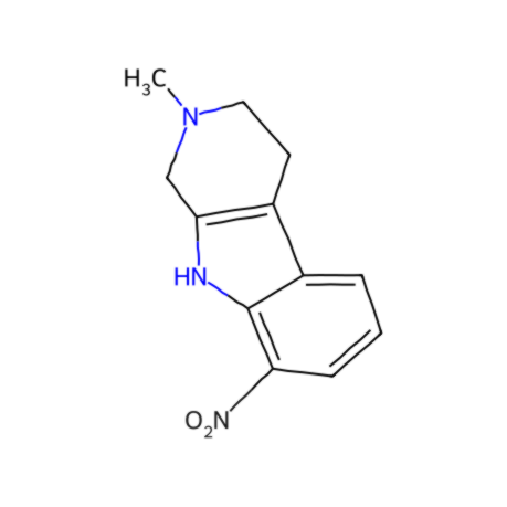 CN1CCc2c([nH]c3c([N+](=O)[O-])cccc23)C1